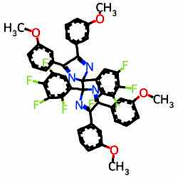 COc1cccc(C2=NC(c3cc(F)c(F)c(F)c3F)(C3(c4cc(F)c(F)c(F)c4F)N=C(c4cccc(OC)c4)C(c4cccc(OC)c4)=N3)N=C2c2cccc(OC)c2)c1